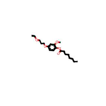 CCCCCCCC(=O)Oc1ccc(OCCCOCC)cc1OC